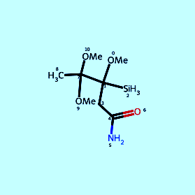 COC([SiH3])(CC(N)=O)C(C)(OC)OC